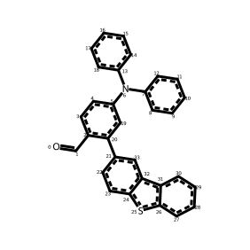 O=Cc1ccc(N(c2ccccc2)c2ccccc2)cc1-c1ccc2sc3ccccc3c2c1